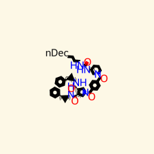 CCCCCCCCCCCCCCNC(=O)N[C@@H]1CCCN(C(=O)c2ccc(C(=O)N3C[C@@H](C(=O)N[C@H]4C[C@@H]4c4ccccc4)[C@H](C(=O)N[C@H]4C[C@@H]4c4ccccc4)C3)cc2)C1